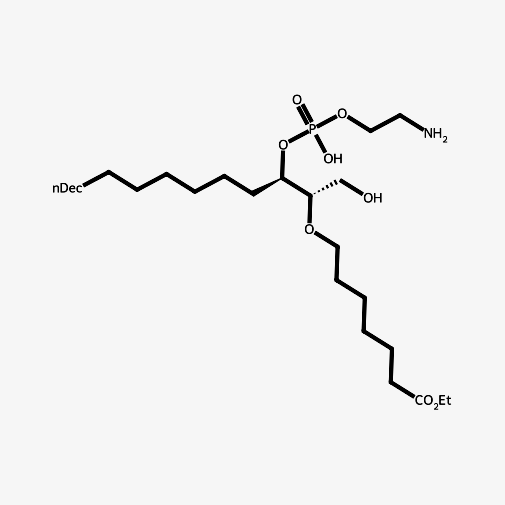 CCCCCCCCCCCCCCCC[C@@H](OP(=O)(O)OCCN)[C@H](CO)OCCCCCCC(=O)OCC